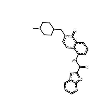 CN1CCC(Cn2ccc3c(NC(=O)c4cc5ccccc5o4)cccc3c2=O)CC1